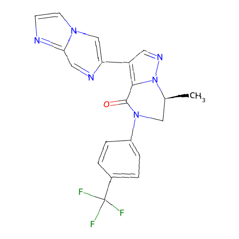 C[C@H]1CN(c2ccc(C(F)(F)F)cc2)C(=O)c2c(-c3cn4ccnc4cn3)cnn21